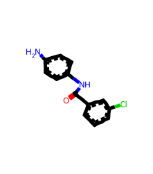 Nc1ccc(NC(=O)c2cccc(Cl)c2)cc1